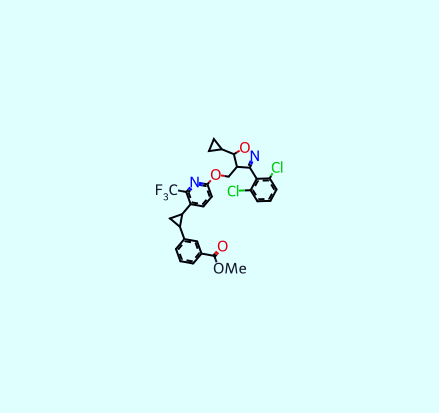 COC(=O)c1cccc(C2CC2c2ccc(OCC3C(c4c(Cl)cccc4Cl)=NOC3C3CC3)nc2C(F)(F)F)c1